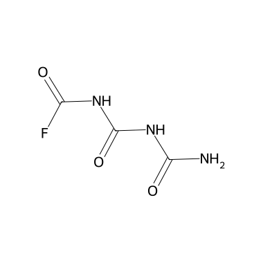 NC(=O)NC(=O)NC(=O)F